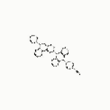 C=c1cccc/c1=C(\c1ccc2cc(-c3ccccc3)c3ccccc3c2c1)c1ccccc1Cc1ccc(C#N)cc1